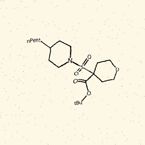 CCCCCC1CCN(S(=O)(=O)C2(C(=O)OC(C)(C)C)CCOCC2)CC1